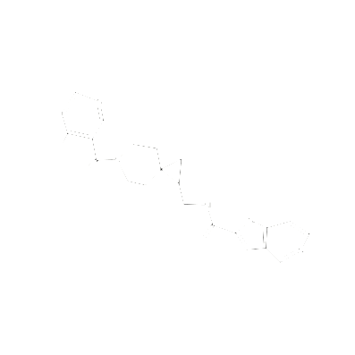 Cc1ccncc1C(=O)N1CCC2(CC1)CC2CNC(=O)c1cc2cnccc2[nH]1